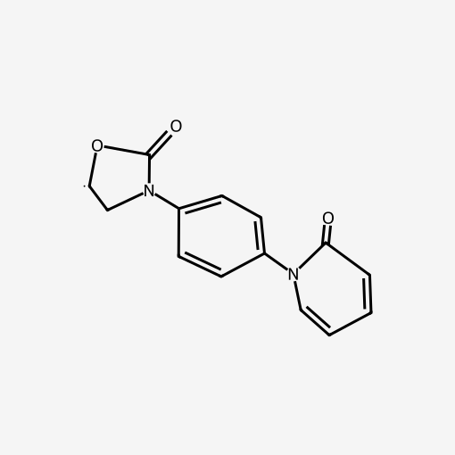 O=C1O[CH]CN1c1ccc(-n2ccccc2=O)cc1